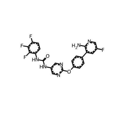 Nc1ncc(F)cc1-c1ccc(Oc2ncc(NC(=O)Nc3ccc(F)c(F)c3F)cn2)cc1